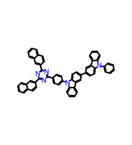 c1ccc(-n2c3ccccc3c3cc(-c4ccc5c(c4)c4ccccc4n5-c4ccc(-c5nc(-c6ccc7ccccc7c6)nc(-c6ccc7ccccc7c6)n5)cc4)ccc32)cc1